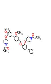 C=CC(=O)N1CCC(Oc2cc(-c3ccc(COc4ccc(-c5ccccc5)cc4OC4CCN(C(=O)C=C)CC4)cc3OC)ccc2OC)CC1